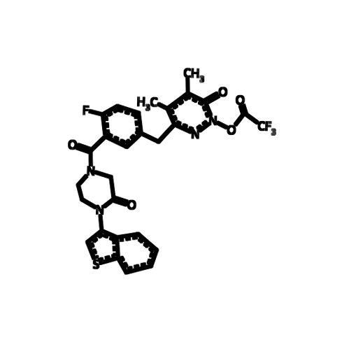 Cc1c(Cc2ccc(F)c(C(=O)N3CCN(c4csc5ccccc45)C(=O)C3)c2)nn(OC(=O)C(F)(F)F)c(=O)c1C